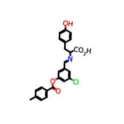 Cc1ccc(C(=O)Oc2cc(Cl)cc(C=NC(Cc3ccc(O)cc3)C(=O)O)c2)cc1